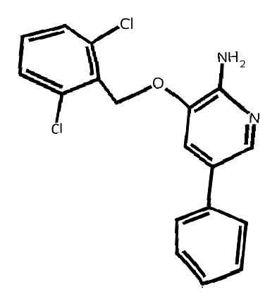 Nc1ncc(-c2cc[c]cc2)cc1OCc1c(Cl)cccc1Cl